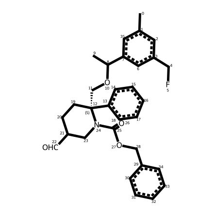 Cc1cc(CF)cc(C(C)OC[C@@]2(c3ccccc3)CCC(C=O)CN2C(=O)OCc2ccccc2)c1